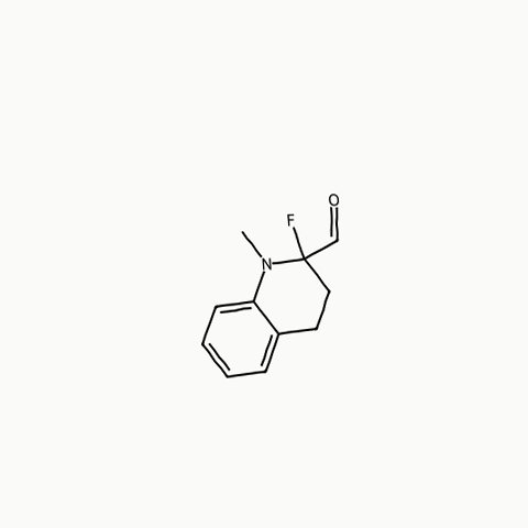 CN1c2ccccc2CCC1(F)C=O